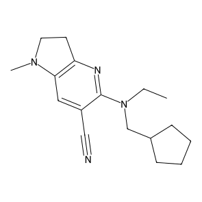 CCN(CC1CCCC1)c1nc2c(cc1C#N)N(C)CC2